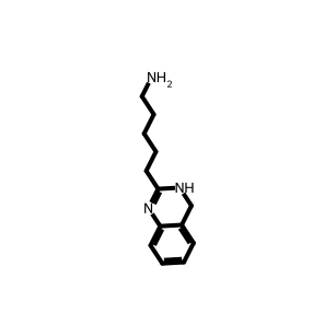 NCCCCCC1=Nc2ccccc2CN1